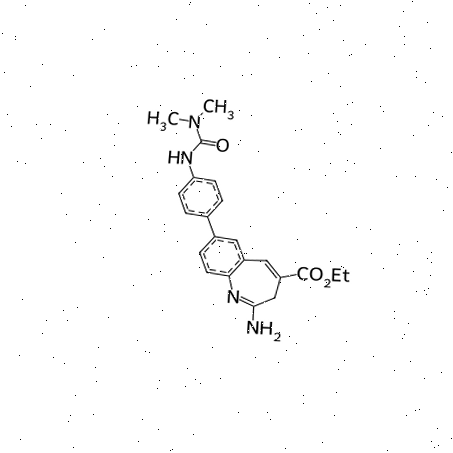 CCOC(=O)C1=Cc2cc(-c3ccc(NC(=O)N(C)C)cc3)ccc2N=C(N)C1